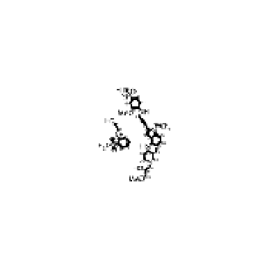 C#CCNc1ccccc1S(C)(=O)=O.COC[C@H](O)CN1CC[C@H](Nc2cccc3c2cc(C#CCNc2ccc(S(N)(=O)=O)cc2OC)n3CC(F)(F)F)[C@H](F)C1